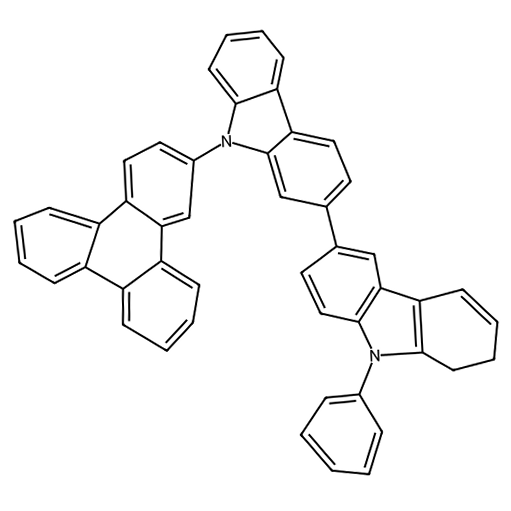 C1=Cc2c(n(-c3ccccc3)c3ccc(-c4ccc5c6ccccc6n(-c6ccc7c8ccccc8c8ccccc8c7c6)c5c4)cc23)CC1